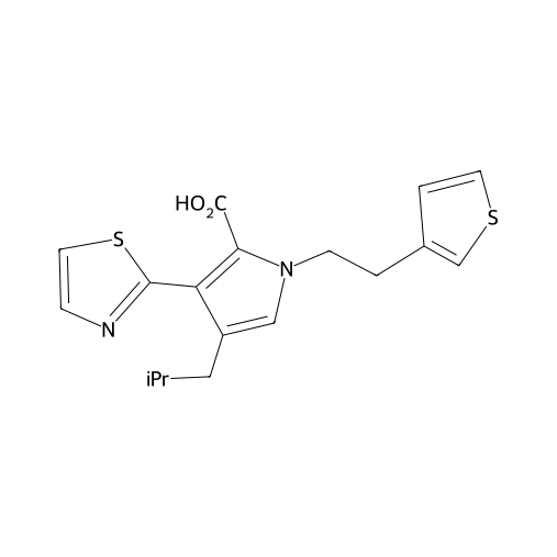 CC(C)Cc1cn(CCc2ccsc2)c(C(=O)O)c1-c1nccs1